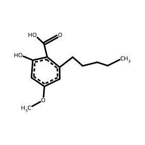 CCCCCc1cc(OC)cc(O)c1C(=O)O